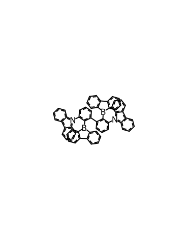 c1ccc2c(c1)B(c1c(-c3cccc(-n4c5ccccc5c5ccccc54)c3B3c4ccccc4-c4ccccc43)cccc1-n1c3ccccc3c3ccccc31)c1ccccc1-2